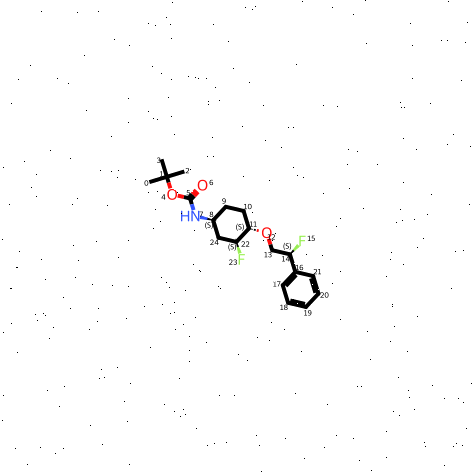 CC(C)(C)OC(=O)N[C@H]1CC[C@H](OC[C@@H](F)c2ccccc2)[C@@H](F)C1